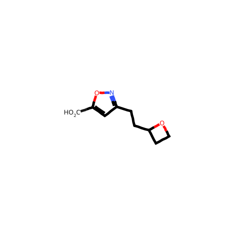 O=C(O)c1cc(CCC2CCO2)no1